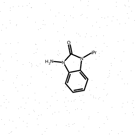 CC(C)n1c(=O)n(N)c2ccccc21